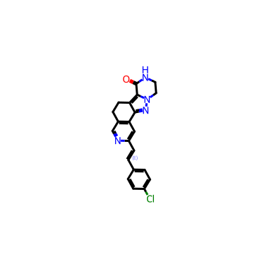 O=C1NCCn2nc3c(c21)CCc1cnc(/C=C/c2ccc(Cl)cc2)cc1-3